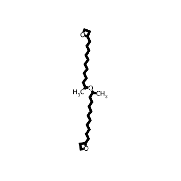 CC(CCCCCCCCCCC1CCO1)OC(C)CCCCCCCCCCC1CCO1